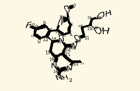 COc1cccc(-c2cc(F)ccc2[C@@H]2Cc3nc(N)nc(C)c3/C(=N/OCC[C@@H](O)CO)N2)n1